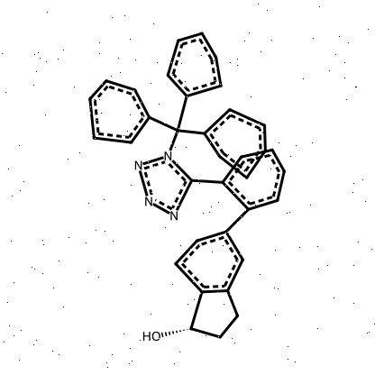 O[C@H]1CCc2cc(-c3ccccc3-c3nnnn3C(c3ccccc3)(c3ccccc3)c3ccccc3)ccc21